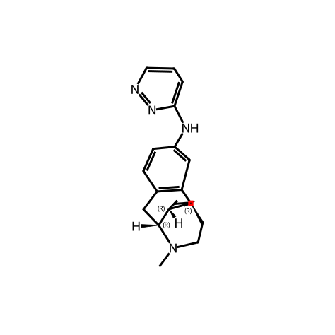 CN1CC[C@]23CCCC[C@H]2[C@H]1Cc1ccc(Nc2cccnn2)cc13